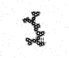 C1=Cc2oc3ccc(N(c4ccc(-c5cc6ccccc6c6ccccc56)cc4)c4ccc(-c5cc6ccccc6c6cc(-c7ccc8cc(-c9ccc(N(c%10ccc(-c%11cc%12ccccc%12c%12ccccc%11%12)cc%10)c%10ccc%11c(c%10)oc%10cccnc%10%11)cc9)c9ccccc9c8c7)ccc56)cc4)cc3c2NC1